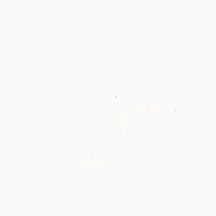 CCCCCCCCC(CCCCCC)C(=O)O.OCCCCCCBr